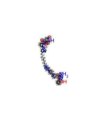 CN(c1ccc(CCCCCCCCCN2CCN(c3ccc(N4CCCC(Oc5cc(-c6ccccc6O)nnc5N)C4)cc3)CC2)cn1)c1cccc2c1C(=O)N(C1CCC(=O)NC1=O)C2=O